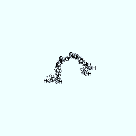 CC(C)c1cc(C(=O)N2Cc3ccc(CN4CCN(C(=O)CCOCCC(=O)N5CCN(Cc6ccc7c(c6)CN(C(=O)c6cc(C(C)C)c(O)cc6O)C7)CC5)CC4)cc3C2)c(O)cc1O